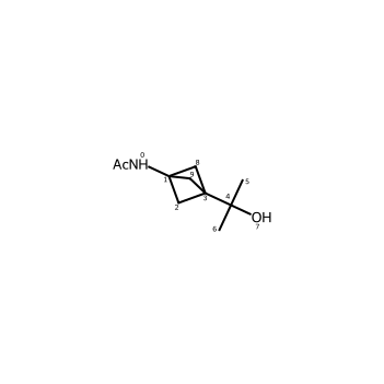 CC(=O)NC12CC(C(C)(C)O)(C1)C2